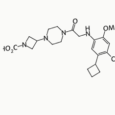 COc1cc(Cl)c(C2CCC2)cc1NCC(=O)N1CCN(C2CN(C(=O)O)C2)CC1